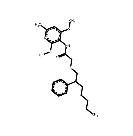 CCCCCC(CSCC(=O)Nc1c(SC)cc(C)nc1SC)c1ccccc1